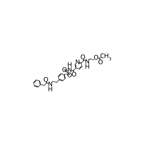 CC(=O)OCCNC(=O)c1ccc(C(=O)NS(=O)(=O)c2ccc(CCNC(=O)Cc3ccccc3)cc2)cn1